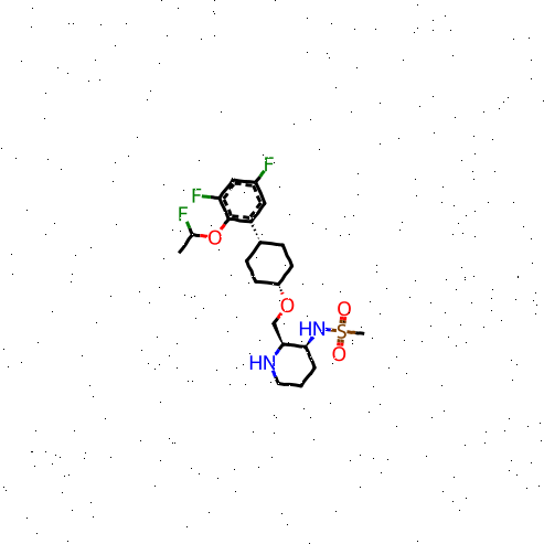 CC(F)Oc1c(F)cc(F)cc1[C@H]1CC[C@@H](OC[C@@H]2NCCC[C@@H]2NS(C)(=O)=O)CC1